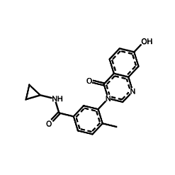 Cc1ccc(C(=O)NC2CC2)cc1-n1cnc2cc(O)ccc2c1=O